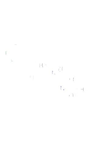 CN(C)[C@]1(CCc2ccc(C(F)(F)F)cc2Cl)CCCN(C(C)(C)C)C1